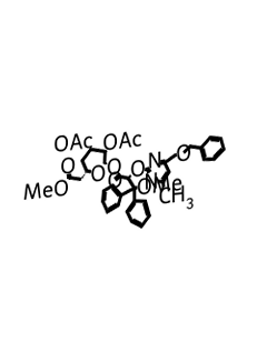 COC(=O)C[C@@H]1C[C@H](OC(C)=O)[C@@H](OC(C)=O)[C@H](OC(=O)[C@@H](Oc2nc(C)cc(COCc3ccccc3)n2)C(OC)(c2ccccc2)c2ccccc2)O1